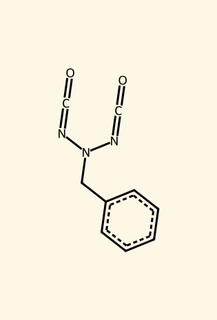 O=C=NN(Cc1ccccc1)N=C=O